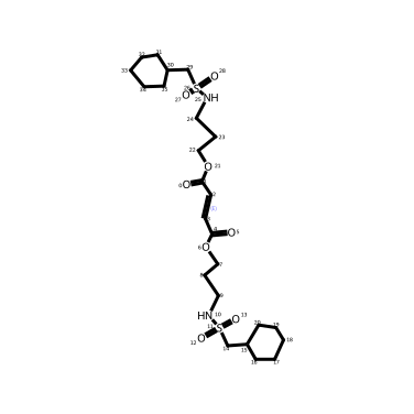 O=C(/C=C/C(=O)OCCCNS(=O)(=O)CC1CCCCC1)OCCCNS(=O)(=O)CC1CCCCC1